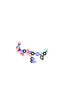 CC1(C)CCC(CN2CCN(c3ccc(C(=O)NS(=O)(=O)c4ccc(NCC5(C=O)CN(C6COC6)CCO5)c([N+](=O)[O-])c4)c(Oc4cnc5[nH]ccc5c4)c3)CC2)=C(c2ccc(C(F)(F)F)cc2Cl)C1